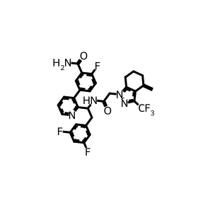 C=C1CCCc2c1c(C(F)(F)F)nn2CC(=O)NC(Cc1cc(F)cc(F)c1)c1ncccc1-c1ccc(F)c(C(N)=O)c1